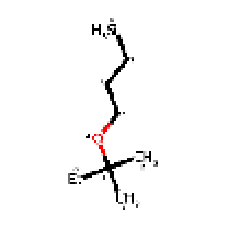 CCC(C)(C)OCCC[SiH3]